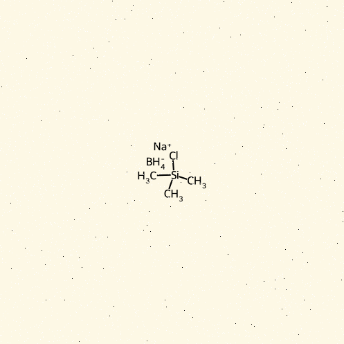 C[Si](C)(C)Cl.[BH4-].[Na+]